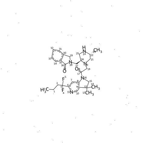 CCCC(F)(F)c1cc2c(cn1)C(C)(C)CN2C(=O)CN1C[C@@H](C)NC[C@@H]1CN1Cc2ccccc2C1=O